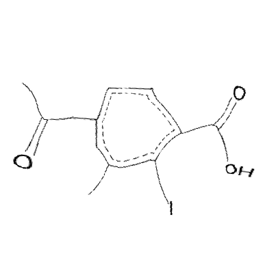 CC(=O)c1ccc(C(=O)O)c(I)c1C